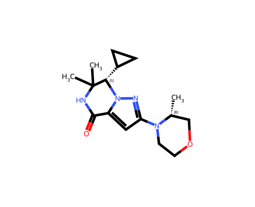 C[C@@H]1COCCN1c1cc2n(n1)[C@@H](C1CC1)C(C)(C)NC2=O